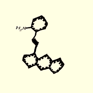 Nc1ccccc1/C=C/c1cccc2cc3ccccc3cc12